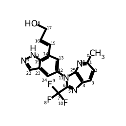 Cc1ccc2nc(C(F)(F)F)n(-c3cc(/C=C/CO)c4[nH]ncc4c3)c2n1